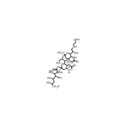 CCCCCCCCCCCCNCC(O)C1OC(OC(CO)C(O)C2OC(OC(CO)C(O)C(O)C(N)C(O)CC(O)C(=O)O)(C(=O)O)CC(O)C2NC(=O)CC)(C(=O)O)CC(O)C1NC(=O)CC